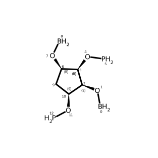 BO[C@@H]1[C@H](OP)[C@H](OB)C[C@@H]1OP